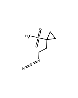 CS(=O)(=O)C1(CCN=[N+]=[N-])CC1